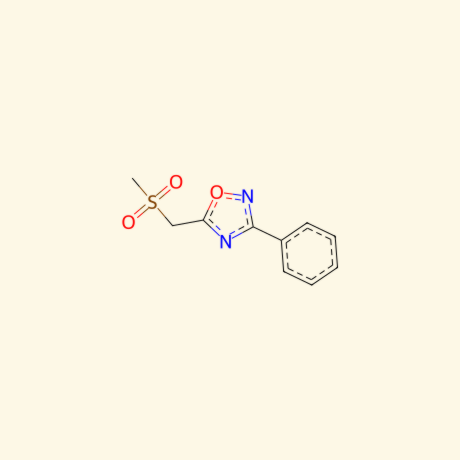 CS(=O)(=O)Cc1nc(-c2ccccc2)no1